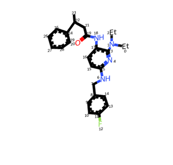 CCN(CC)c1nc(NCc2ccc(F)cc2)ccc1NC(=O)CC(C)c1ccccc1